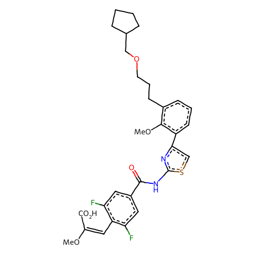 COC(=Cc1c(F)cc(C(=O)Nc2nc(-c3cccc(CCCOCC4CCCC4)c3OC)cs2)cc1F)C(=O)O